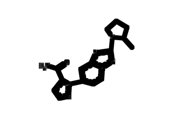 CC1CCCN1c1nc2cc(-n3nccc3C(N)=O)ccn2n1